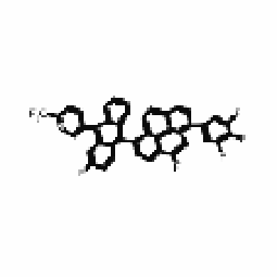 Fc1ccc2c(-c3ccc4c(F)cc5c(-c6cc(F)c(F)c(F)c6)ccc6ccc3c4c65)c3ccccc3c(-c3ccc(C(F)(F)F)nc3)c2c1